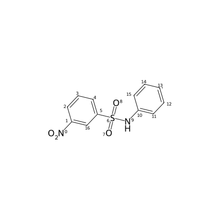 O=[N+]([O-])c1cccc(S(=O)(=O)Nc2cc[c]cc2)c1